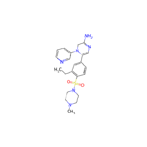 CCc1cc(C2=CN=C(N)CN2c2cccnc2)ccc1S(=O)(=O)N1CCN(C)CC1